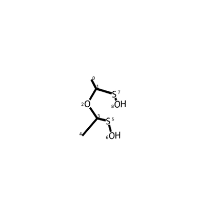 CC(OC(C)SO)SO